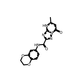 Cc1cc(=O)n2nc(C(=O)Nc3ccc4c(c3)OCCO4)nc2[nH]1